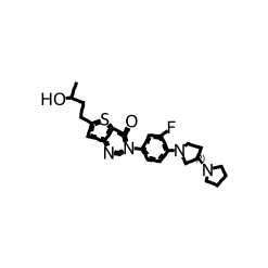 CC(O)CCc1cc2ncn(-c3ccc(N4CC[C@@H](N5CCCC5)C4)c(F)c3)c(=O)c2s1